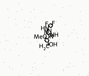 C=C(O)c1ccc(OC)c(-c2n[nH]c3nc(Nc4ccc(F)cc4F)ncc23)c1